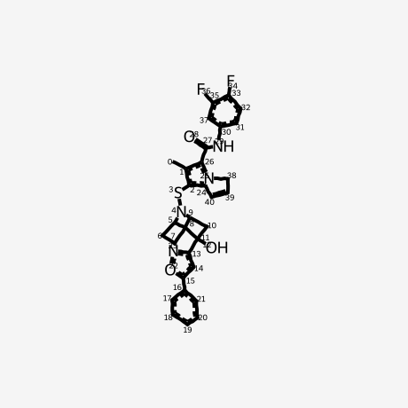 Cc1c(SN2C3CCC34C2CC4(O)c2cc(-c3ccccc3)on2)c2n(c1C(=O)Nc1ccc(F)c(F)c1)CC=C2